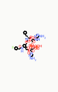 CN(C(=O)OCc1ccc(NC(=O)Cc2ccc(F)cc2)cc1)[C@@H](CCc1ccccc1)C(=O)OC1C(O)[C@H](n2cnc3c(N)ncnc32)O[C@@H]1COP(=O)(O)O[C@H]1[C@@H](OC2CCCO2)[C@H](n2ccc(N)nc2=O)O[C@@H]1COP(=O)(O)O